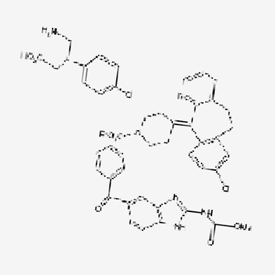 CCOC(=O)N1CCC(=C2c3ccc(Cl)cc3CCc3cccnc32)CC1.COC(=O)Nc1nc2cc(C(=O)c3ccccc3)ccc2[nH]1.NCC(CC(=O)O)c1ccc(Cl)cc1